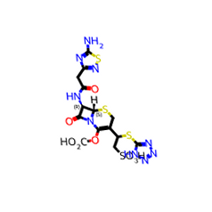 Nc1nc(CC(=O)N[C@@H]2C(=O)N3C(OC(=O)O)=C(C(CS(=O)(=O)O)Sc4nnn[nH]4)CS[C@@H]23)ns1